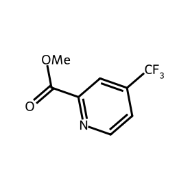 COC(=O)c1cc(C(F)(F)F)ccn1